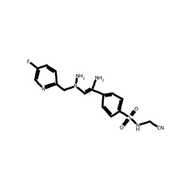 N#CCNS(=O)(=O)c1ccc(/C(N)=C/N(N)Cc2ccc(F)cn2)cc1